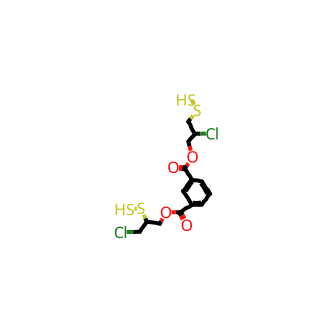 O=C(OCC(Cl)CSS)c1cccc(C(=O)OCC(CCl)SS)c1